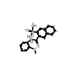 COc1ccccc1NC(=O)c1cc2ccccc2cc1P(=O)(O)O